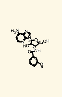 COc1cccc(C(=O)N[C@@H]2C(O)[C@H](n3cnc4c(N)ccnc43)O[C@@H]2CO)c1